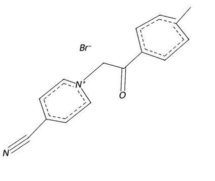 N#Cc1cc[n+](CC(=O)c2ccc(Cl)cc2)cc1.[Br-]